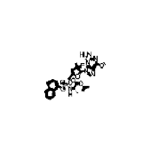 COc1nc(N)nc2c1ncn2C1OC(CO[P@@](=O)(N[C@@H](C)C(=O)OC(C)C)Oc2cccc3ccccc23)CC1(C)F